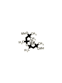 COC(C)(C)CC(C)(C)OC(C)(C)CC(C)(C)OC